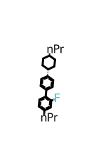 CCCc1ccc(-c2ccc([C@H]3CC[C@H](CCC)CC3)cc2)c(F)c1